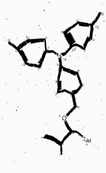 C=C(C)C(O)OCc1ccc(N(c2ccc(C)cc2)c2ccc(C)cc2)cc1